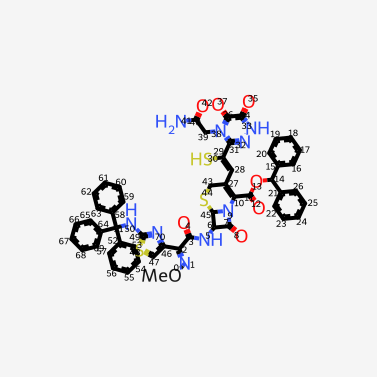 CON=C(C(=O)NC1C(=O)N2C(C(=O)OC(c3ccccc3)c3ccccc3)=C(C=C(S)c3n[nH]c(=O)c(=O)n3CC(N)=O)CSC12)c1csc(NC(c2ccccc2)(c2ccccc2)c2ccccc2)n1